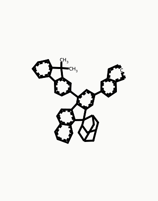 CC1(C)c2ccccc2-c2ccc(-c3cc(-c4ccc5ccccc5c4)cc4c3-c3ccc5ccccc5c3C43C4CC5CC(C4)CC3C5)cc21